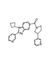 O=C(c1ccc2c(c1)nc(-c1cccnc1)n2C1CCC1)N1CCC(c2cccnc2)C1